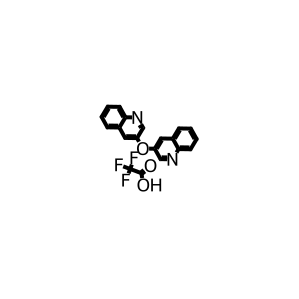 O=C(O)C(F)(F)F.c1ccc2ncc(Oc3cnc4ccccc4c3)cc2c1